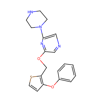 c1ccc(Oc2ccsc2COc2cncc(N3CCNCC3)n2)cc1